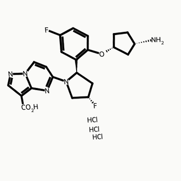 Cl.Cl.Cl.N[C@H]1CC[C@@H](Oc2ccc(F)cc2[C@H]2C[C@H](F)CN2c2ccn3ncc(C(=O)O)c3n2)C1